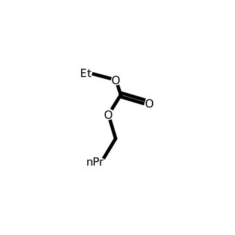 [CH2]COC(=O)OCCCC